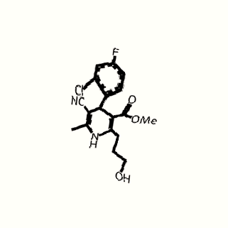 COC(=O)C1=C(CCCO)NC(C)=C(C#N)C1c1ccc(F)cc1Cl